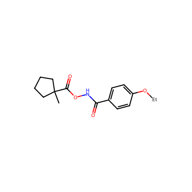 CCOc1ccc(C(=O)NOC(=O)C2(C)CCCC2)cc1